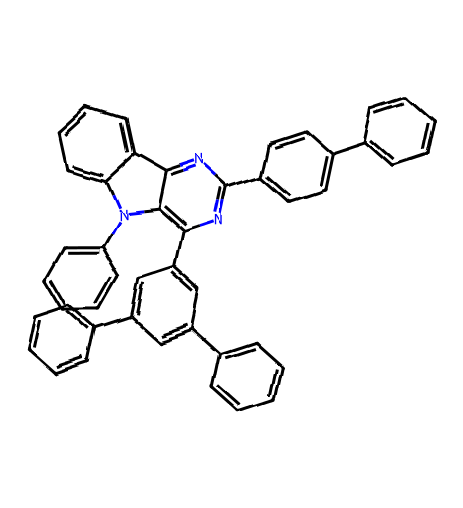 c1ccc(-c2ccc(-c3nc(-c4cc(-c5ccccc5)cc(-c5ccccc5)c4)c4c(n3)c3ccccc3n4-c3ccccc3)cc2)cc1